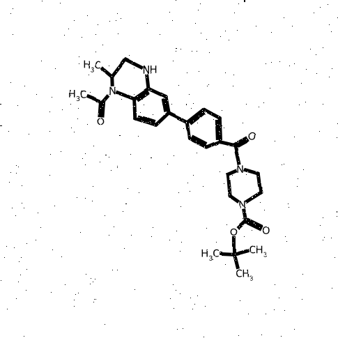 CC(=O)N1c2ccc(-c3ccc(C(=O)N4CCN(C(=O)OC(C)(C)C)CC4)cc3)cc2NCC1C